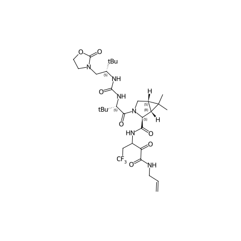 C=CCNC(=O)C(=O)C(CC(F)(F)F)NC(=O)[C@@H]1[C@@H]2[C@H](CN1C(=O)[C@@H](NC(=O)N[C@H](CN1CCOC1=O)C(C)(C)C)C(C)(C)C)C2(C)C